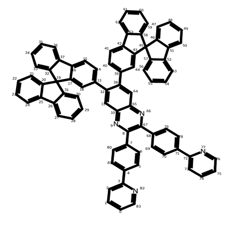 c1ccc(-c2ccc(-c3nc4cc(-c5ccc6c(c5)C5(c7ccccc7-c7ccccc75)c5ccccc5-6)c(-c5ccc6c(c5)C5(c7ccccc7-c7ccccc75)c5ccccc5-6)cc4nc3-c3ccc(-c4ccccn4)cc3)cc2)nc1